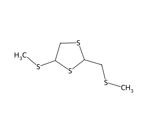 CSCC1SCC(SC)S1